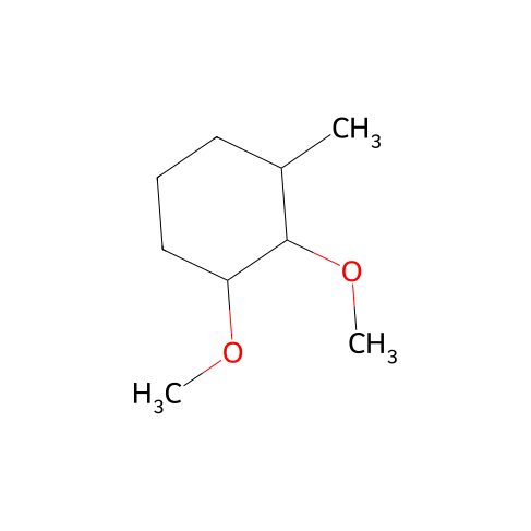 COC1CCCC(C)C1OC